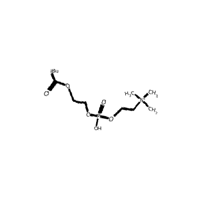 CCC(C)C(=O)OCCOP(=O)(O)OCC[N+](C)(C)C